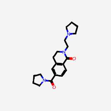 O=C(c1ccc2c(c1)CCN(CCN1CCCC1)C2=O)N1CCCC1